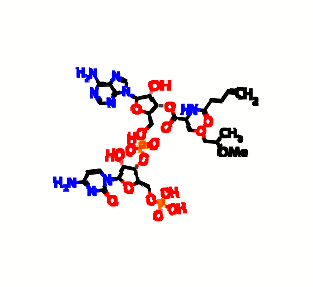 C=CCCC(=O)N[C@@H](COC[C@@H](C)OC)C(=O)O[C@H]1[C@@H](O)[C@H](n2cnc3c(N)ncnc32)O[C@@H]1COP(=O)(O)O[C@H]1[C@@H](O)[C@H](n2ccc(N)nc2=O)O[C@@H]1COP(=O)(O)O